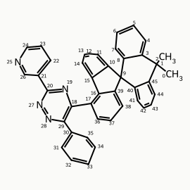 CC1(C)c2ccccc2C2(c3ccccc3-c3c(-c4nc(-c5cccnc5)nnc4-c4ccccc4)cccc32)c2ccccc21